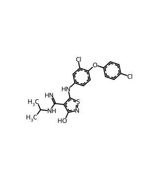 CC(C)NC(=N)c1c(O)nsc1Nc1ccc(Oc2ccc(Cl)cc2)c(Cl)c1